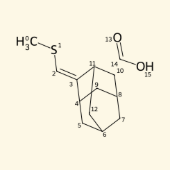 CSC=C1C2CC3CC(C2)CC1C3.O=CO